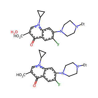 CCN1CCN(c2cc3c(cc2F)c(=O)c(C(=O)O)cn3C2CC2)CC1.CCN1CCN(c2cc3c(cc2F)c(=O)c(C(=O)O)cn3C2CC2)CC1.O